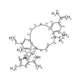 C=Cc1cc2c(c(N=C)c1)N(CNC(=C)c1cc(C)nn1CC)C/C=C/CN(C)c1c(N)cc(C(=C)N)cc1CCCCC2